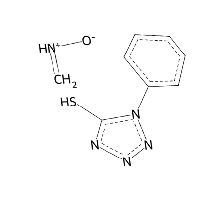 C=[NH+][O-].Sc1nnnn1-c1ccccc1